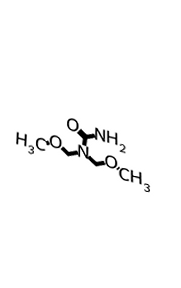 COCN(COC)C(N)=O